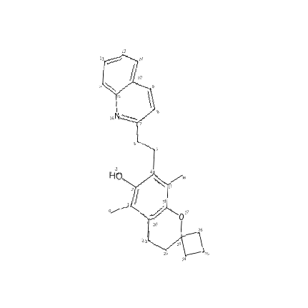 Cc1c(O)c(CCc2ccc3ccccc3n2)c(C)c2c1CCC1(CCC1)O2